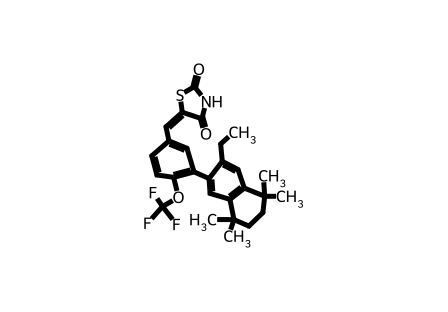 CCc1cc2c(cc1-c1cc(C=C3SC(=O)NC3=O)ccc1OC(F)(F)F)C(C)(C)CCC2(C)C